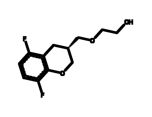 OCCOC[C@@H]1COc2c(F)ccc(F)c2C1